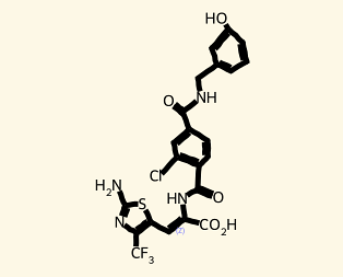 Nc1nc(C(F)(F)F)c(/C=C(\NC(=O)c2ccc(C(=O)NCc3cccc(O)c3)cc2Cl)C(=O)O)s1